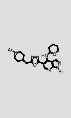 CCn1ncc2c(NC3CCCCO3)c(-c3nnc(CC4CCN(C(C)=O)CC4)o3)cnc21